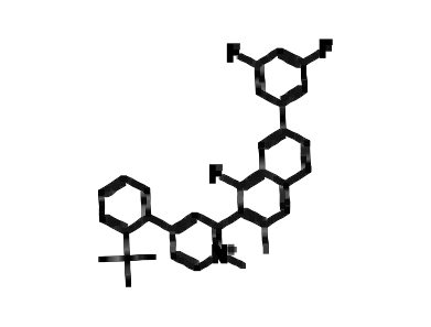 Cc1cc2ccc(-c3cc(F)cc(F)c3)cc2c(F)c1-c1cc(-c2ccccc2C(C)(C)C)cc[n+]1C